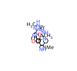 CN/C(=C(\C=N)c1ccc2c(c1)OCCn1cc(/C(=N/C(C)=N)NC(C)C)nc1-2)C1CCCN(C(C)(C)C(N)=O)C1